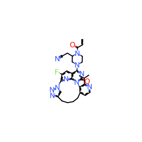 C=CC(=O)N1CCN(c2nc(=O)n3c4nc(c(F)cc24)-n2cc(nn2)CCCCc2ccnc(C(C)C)c2-3)CC1CC#N